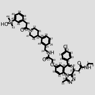 CCNC(=O)C[C@@H]1N=C(c2ccc(Cl)cc2)c2cc(OCC(=O)NCc3cccc(C4CCN(C(=O)Cc5cccc([Si](C)(C)O)c5)CC4)c3)ccc2-n2c(C)nnc21